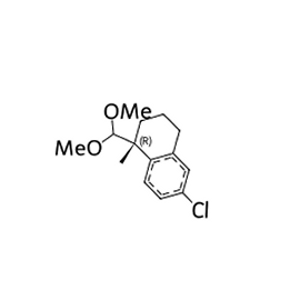 COC(OC)[C@]1(C)CCCc2cc(Cl)ccc21